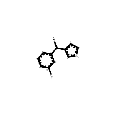 [O]C(c1ccsc1)c1cccc(Cl)c1